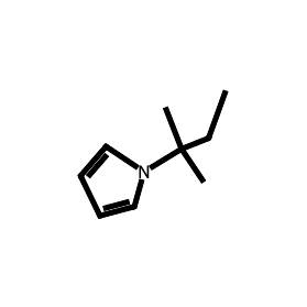 CCC(C)(C)n1cccc1